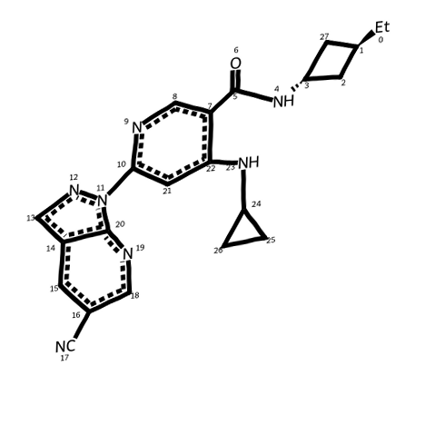 CC[C@H]1C[C@H](NC(=O)c2cnc(-n3ncc4cc(C#N)cnc43)cc2NC2CC2)C1